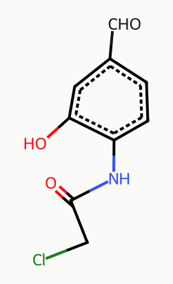 O=Cc1ccc(NC(=O)CCl)c(O)c1